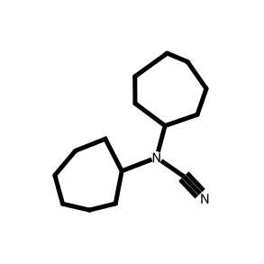 N#CN(C1CCCCCC1)C1CCCCCC1